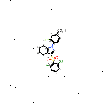 O=C(O)c1ccc(-n2cc(S(=O)(=O)c3c(Cl)cccc3Cl)c3c2CCCC3)c(F)c1